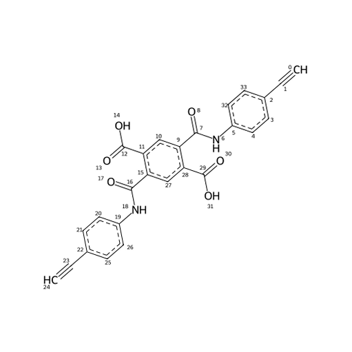 C#Cc1ccc(NC(=O)c2cc(C(=O)O)c(C(=O)Nc3ccc(C#C)cc3)cc2C(=O)O)cc1